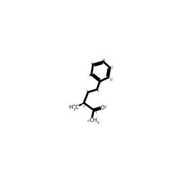 CC(=O)[C@@H](C)CCc1ccccc1